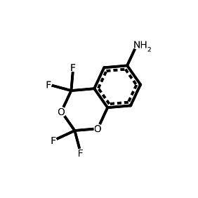 Nc1ccc2c(c1)C(F)(F)OC(F)(F)O2